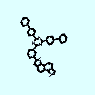 c1ccc(-c2ccc(-c3nc(-c4ccc(-c5ccccc5)cc4)nc(-c4cccc(-c5cc6ccc7c(ccc8ccsc87)c6s5)c4)n3)cc2)cc1